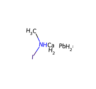 CNI.[CaH2].[PbH2]